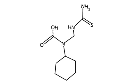 NC(=S)NCN(C(=O)O)C1CCCCC1